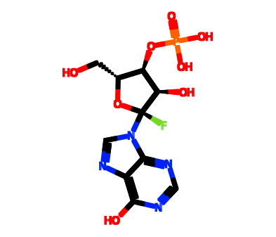 O=P(O)(O)O[C@H]1[C@@H](O)[C@](F)(n2cnc3c(O)ncnc32)O[C@@H]1CO